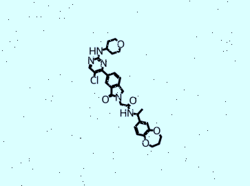 CC(NC(=O)CN1Cc2ccc(-c3nc(NC4CCOCC4)ncc3Cl)cc2C1=O)c1ccc2c(c1)OCCCO2